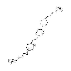 CCCCCOc1ccc(CCC2CCC([C@H]3CC[C@H](CCCCC)CC3)CC2)nc1